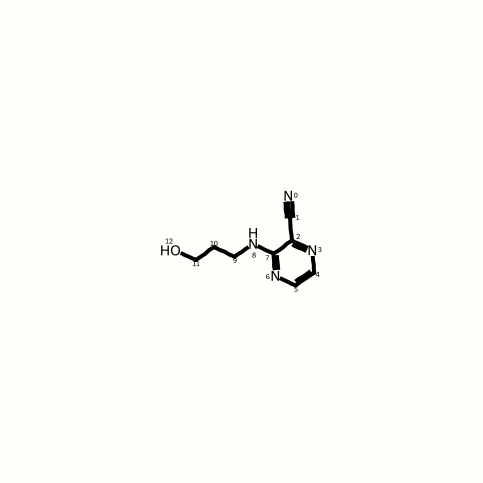 N#Cc1nccnc1NCCCO